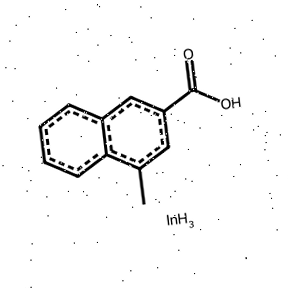 Cc1cc(C(=O)O)cc2ccccc12.[InH3]